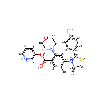 Cc1cc(C(=O)Oc2cccnc2)c(N2CCOCC2)cc1N1C(=O)CSC1c1ccc(F)cc1